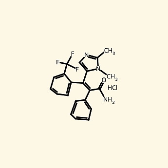 Cc1ncc(C(=C(C(N)=O)c2ccccc2)c2ccccc2C(F)(F)F)n1C.Cl